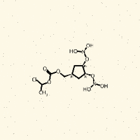 CC(Cl)OC(=O)OC[C@@H]1C[C@H](ON(O)O)[C@H](ON(O)O)C1